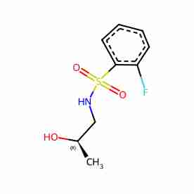 C[C@@H](O)CNS(=O)(=O)c1ccccc1F